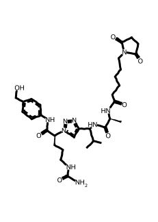 CC(C)[C@H](NC(=O)[C@H](C)NC(=O)CCCCCN1C(=O)CCC1=O)c1cn([C@@H](CCCNC(N)=O)C(=O)Nc2ccc(CO)cc2)nn1